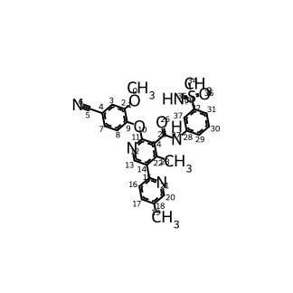 COc1cc(C#N)ccc1Oc1ncc(-c2ccc(C)cn2)c(C)c1C(=O)Nc1cccc([S@](C)(=N)=O)c1